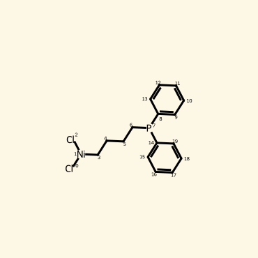 [Cl][Ni]([Cl])[CH2]CCCP(c1ccccc1)c1ccccc1